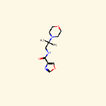 CC(C)(CNC(=O)c1cocn1)N1CCOCC1